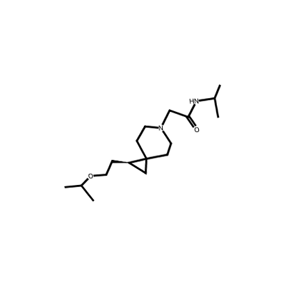 CC(C)NC(=O)CN1CCC2(CC1)C[C@H]2CCOC(C)C